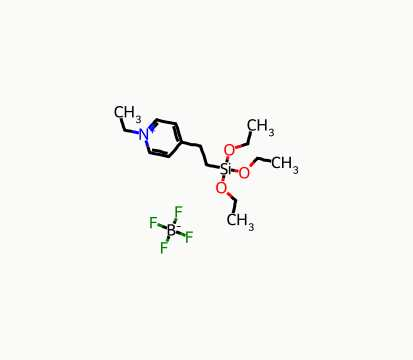 CCO[Si](CCc1cc[n+](CC)cc1)(OCC)OCC.F[B-](F)(F)F